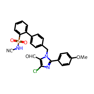 COc1ccc(-c2nc(Cl)c(C=O)n2Cc2ccc(-c3ccccc3S(=O)(=O)NC#N)cc2)cc1